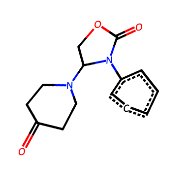 O=C1CCN(C2COC(=O)N2c2ccccc2)CC1